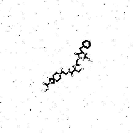 CC(C)CC(NC(=O)CNC(=O)C(Cc1ccccc1)NC(=O)OC(C)(C)C)C(=O)NCC(=O)N1CCC2(CC1)CN(C(=O)OC(C)(C)C)C2